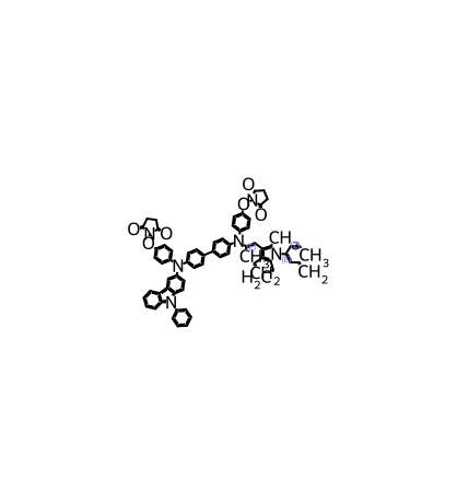 C=C/C=C(\C=C/C)n1c(C)c(/C=C(\C)N(c2ccc(ON3C(=O)CCC3=O)cc2)c2ccc(-c3ccc(N(c4ccc(ON5C(=O)CCC5=O)cc4)c4ccc5c(c4)c4ccccc4n5-c4ccccc4)cc3)cc2)c(C=C)c1C=C